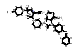 CC(C)(/C=C(/C#N)C(=O)N1CCC[C@H](n2c(=O)n(-c3ccc(Oc4ccccc4)cc3)c3c(N)ncnc32)C1)N1CCC(O)CC1